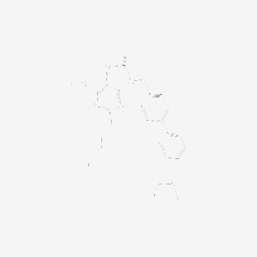 COCCOc1nc(N)c2[nH]c(=O)n(Cc3ccc(-c4ccc(CN5CCCC5)cc4)cc3Cl)c2n1